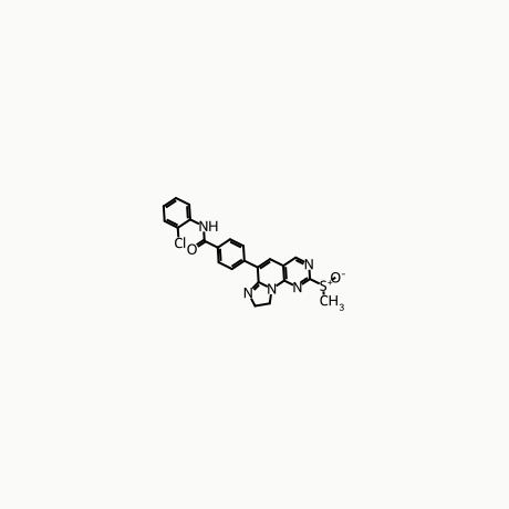 C[S+]([O-])c1ncc2c(n1)N1CCN=C1C(c1ccc(C(=O)Nc3ccccc3Cl)cc1)=C2